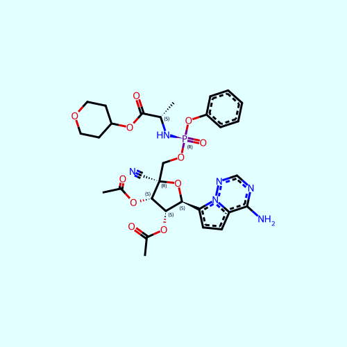 CC(=O)O[C@H]1[C@H](c2ccc3c(N)ncnn23)O[C@](C#N)(CO[P@](=O)(N[C@@H](C)C(=O)OC2CCOCC2)Oc2ccccc2)[C@H]1OC(C)=O